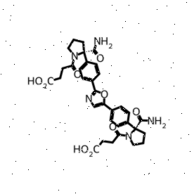 NC(=O)[C@@]1(c2ccc(-c3cnc(-c4ccc([C@]5(C(N)=O)CCCN5C(=O)CCC(=O)O)cc4)o3)cc2)CCCN1C(=O)CCC(=O)O